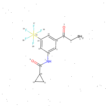 BCC(=O)c1cc(NC(=O)C2CC2)cc(S(F)(F)(F)(F)F)c1